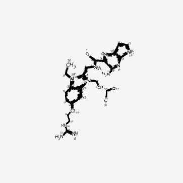 CCn1c(CNC(=O)c2nc3cc[nH]c3nc2N)[n+](CC)c2ccc(OCCNC(=N)N)cc21.O=C[O-]